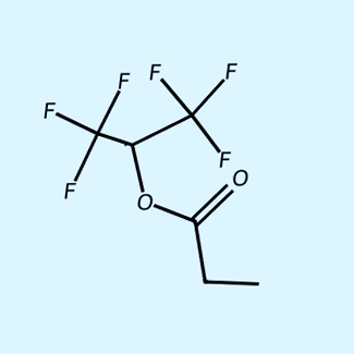 CCC(=O)O[C](C(F)(F)F)C(F)(F)F